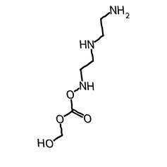 NCCNCCNOC(=O)OCO